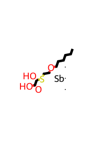 CCCCCCOCCSC(O)C(=O)O.[Sb]